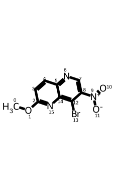 COc1ccc2ncc([N+](=O)[O-])c(Br)c2n1